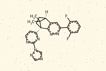 CC1(C)[C@H]2CC[C@]1(c1ccnc(-n3cncn3)n1)c1nnc(-c3c(F)cccc3F)cc12